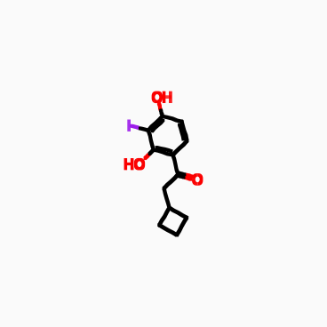 O=C(CC1CCC1)c1ccc(O)c(I)c1O